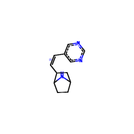 C(=C/C1CC2CCC1N2)/c1cncnc1